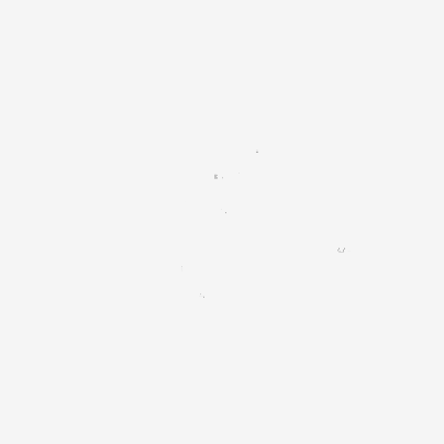 COc1ccc(-c2c[nH]c(=O)c3c2nc(NC(C)C(C)(C)C)c2ccc(F)cc23)cc1